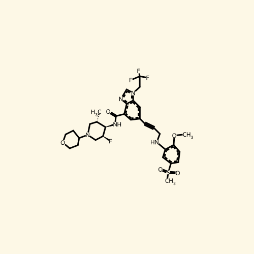 COc1ccc(S(C)(=O)=O)cc1NCC#Cc1cc(C(=O)N[C@@H]2[C@@H](C)CN(C3CCOCC3)C[C@@H]2F)c2ncn(CC(F)(F)F)c2c1